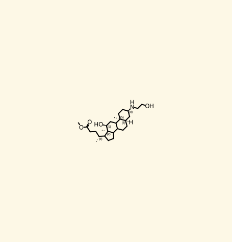 COC(=O)CC[C@@H](C)C1CCC2C3CC[C@@H]4C[C@H](NCCO)CC[C@]4(C)C3C[C@H](O)[C@@]21C